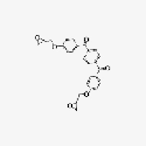 O=C(c1ccc(OCC2CO2)cc1)c1ccc(C(=O)c2ccc(OCC3CO3)cc2)cc1